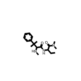 CCC(NC(=O)C(NC)C(C)(C)c1ccccc1)C(=O)N(C)C